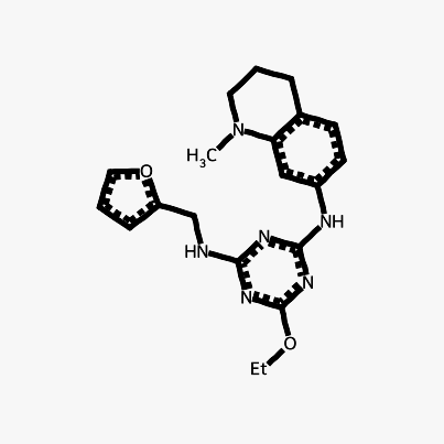 CCOc1nc(NCc2ccco2)nc(Nc2ccc3c(c2)N(C)CCC3)n1